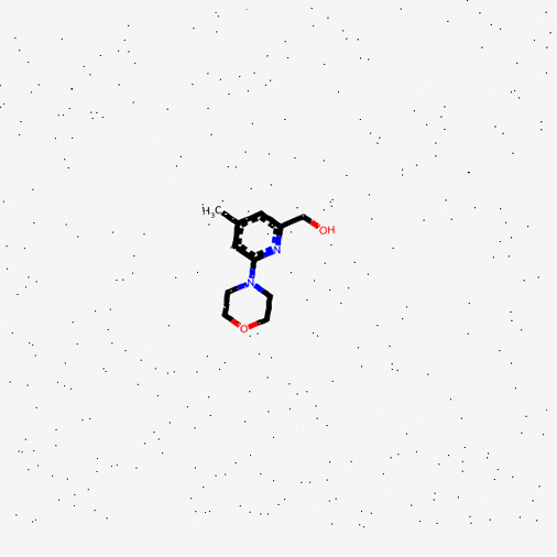 Cc1cc(CO)nc(N2CCOCC2)c1